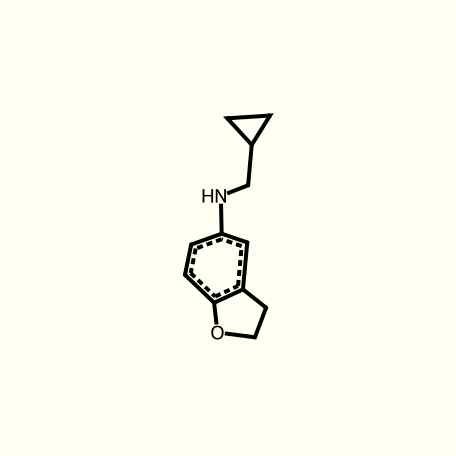 c1cc2c(cc1NCC1CC1)CCO2